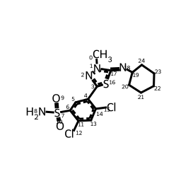 Cn1nc(-c2cc(S(N)(=O)=O)c(Cl)cc2Cl)sc1=NC1CCCCC1